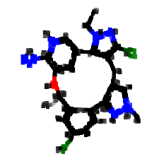 CCn1nc(Cl)c2c1-c1cnc(N)c(c1)O[C@@H](C)c1cc(F)ccc1-c1nn(C)cc1C2